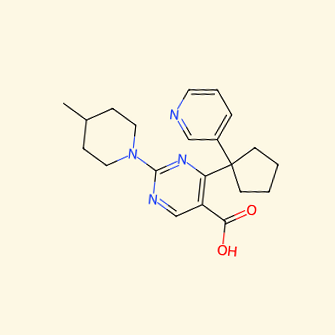 CC1CCN(c2ncc(C(=O)O)c(C3(c4cccnc4)CCCC3)n2)CC1